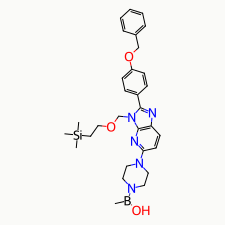 CB(O)N1CCN(c2ccc3nc(-c4ccc(OCc5ccccc5)cc4)n(COCC[Si](C)(C)C)c3n2)CC1